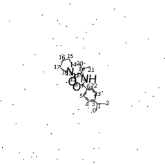 CC(C)c1ccc(C(=O)NC(C(=O)N2CCCCC2)C(C)C)cc1